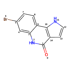 O=c1[nH]c2cc(Br)ccc2c2[nH]ccc12